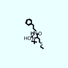 CCSCCC(C(=O)NCCCc1ccccc1)N(C(=O)O)C(C)(C)C